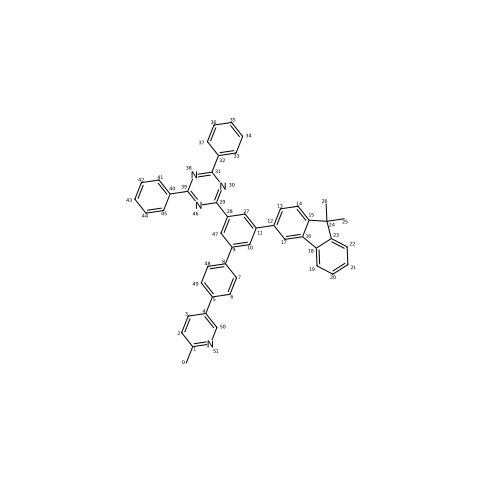 Cc1ccc(-c2ccc(-c3cc(-c4ccc5c(c4)-c4ccccc4C5(C)C)cc(-c4nc(-c5ccccc5)nc(-c5ccccc5)n4)c3)cc2)cn1